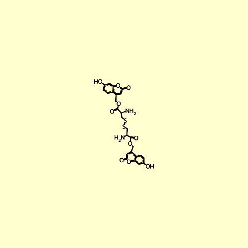 N[C@@H](CSSC[C@H](N)C(=O)OCc1cc(=O)oc2cc(O)ccc12)C(=O)OCc1cc(=O)oc2cc(O)ccc12